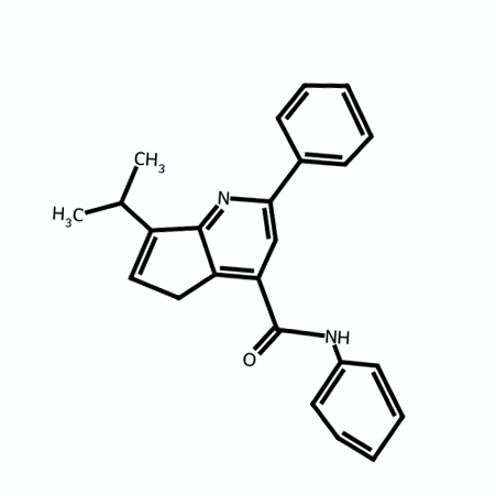 CC(C)C1=CCc2c(C(=O)Nc3ccccc3)cc(-c3ccccc3)nc21